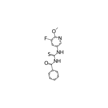 COc1ncc(NC(=S)NC(=O)c2ccccc2)cc1F